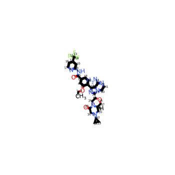 CCOc1cc(C(=O)Nc2cc(C(F)(F)F)ccn2)ccc1-c1nc([C@H]2CN3C(=O)CN(C4CC4)C[C@@H]3CO2)n2ccnc(N)c12